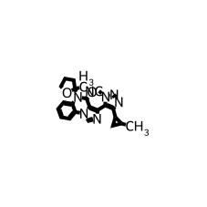 CC1CC1c1nnn(C#N)c1-c1ncn2c1c(=O)n(C1(C)CCCO1)c1ccccc12